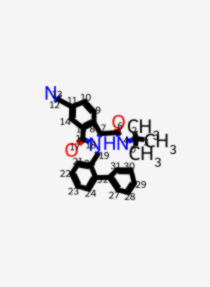 CC(C)(C)NC(=O)C1c2ccc(C#N)cc2C(=O)N1Cc1ccccc1-c1ccccc1